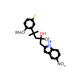 COc1ccc(F)cc1C(C)(C)CC(O)(Cc1cc2cc([N+](=O)[O-])ccc2[nH]1)C(F)(F)F